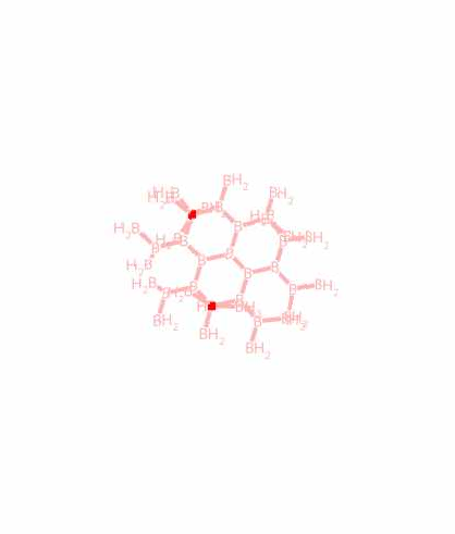 BBB(B(B)B)B(B(B(B)B)B(B)B)B(B(B(B)B)B(B)B(B)B)B(B(B(B)B)B(B)B)B(B(B)B)B(B)B